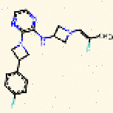 O=CC(F)=CN1CC(Nc2nccnc2N2CC(c3ccc(F)cc3)C2)C1